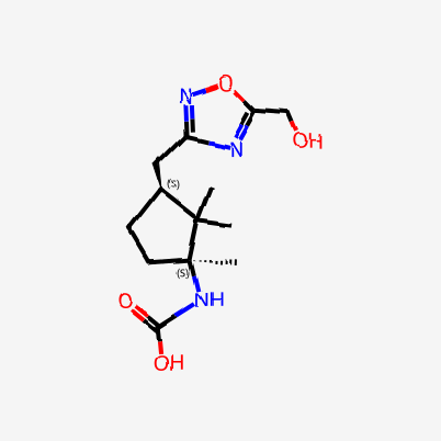 CC1(C)[C@H](Cc2noc(CO)n2)CC[C@]1(C)NC(=O)O